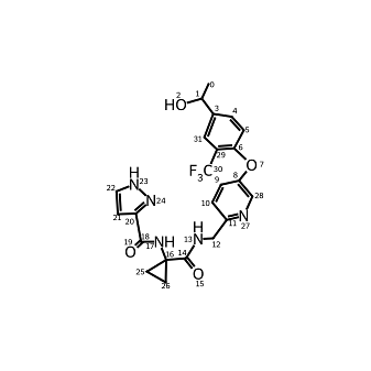 CC(O)c1ccc(Oc2ccc(CNC(=O)C3(NC(=O)c4cc[nH]n4)CC3)nc2)c(C(F)(F)F)c1